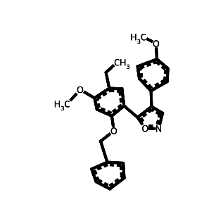 CCc1cc(-c2oncc2-c2ccc(OC)cc2)c(OCc2ccccc2)cc1OC